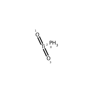 P.[O]=[Ti]=[O]